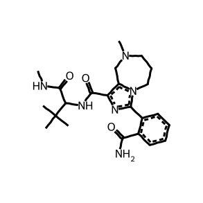 CNC(=O)C(NC(=O)c1nc(-c2ccccc2C(N)=O)n2c1CN(C)CCC2)C(C)(C)C